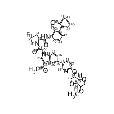 CO[C@@H]1CO[C@H]2[C@@H]1OC[C@H]2Oc1ncc(-c2ccc3c(c2)c(C(C)=O)cn3CC(=O)N2C[C@H](F)C[C@H]2C(=O)Nc2cccc(-c3ccccc3Cl)c2F)cn1